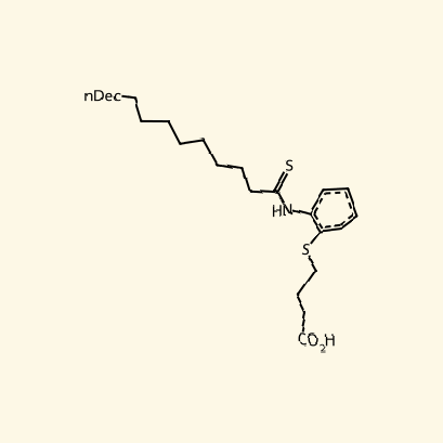 CCCCCCCCCCCCCCCCCCC(=S)Nc1ccccc1SCCCC(=O)O